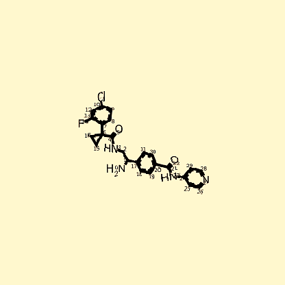 NC(CNC(=O)C1(c2ccc(Cl)cc2F)CC1)c1ccc(C(=O)Nc2ccncc2)cc1